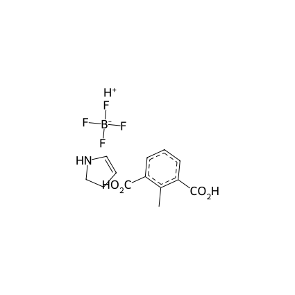 C1=CNCC1.Cc1c(C(=O)O)cccc1C(=O)O.F[B-](F)(F)F.[H+]